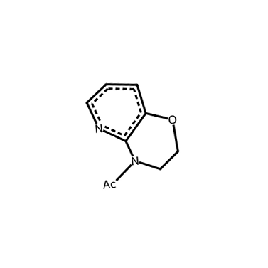 CC(=O)N1CCOc2cccnc21